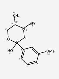 CCCN1CC(O)(c2cccc(OC)c2)OC[C@@H]1C